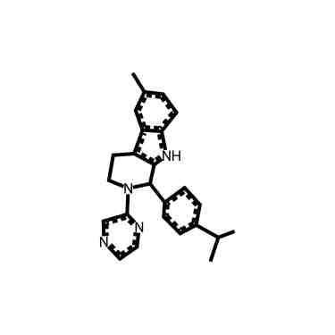 Cc1ccc2[nH]c3c(c2c1)CCN(c1cnccn1)C3c1ccc(C(C)C)cc1